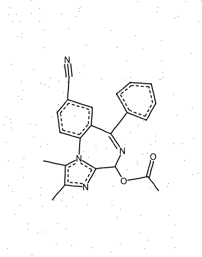 CC(=O)OC1N=C(c2ccccc2)c2cc(C#N)ccc2-n2c1nc(C)c2C